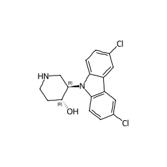 O[C@@H]1CCNC[C@H]1n1c2ccc(Cl)cc2c2cc(Cl)ccc21